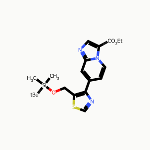 CCOC(=O)c1cnc2cc(-c3ncsc3CO[Si](C)(C)C(C)(C)C)ccn12